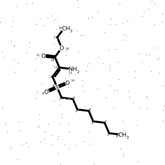 CCCCCCCCS(=O)(=O)C=C(N)C(=O)OCC